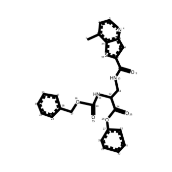 Cc1ccnc2cc(C(=O)NCC(NC(=O)OCc3ccccc3)C(=O)Oc3ccccc3)sc12